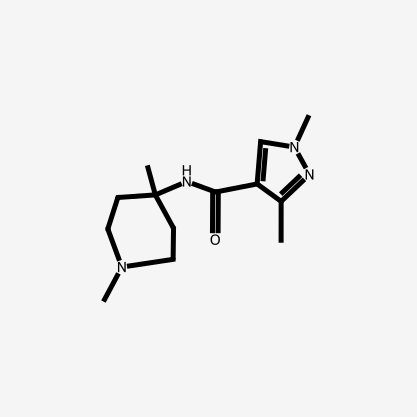 Cc1nn(C)cc1C(=O)NC1(C)CCN(C)CC1